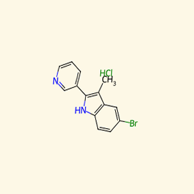 Cc1c(-c2cccnc2)[nH]c2ccc(Br)cc12.Cl